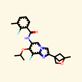 Cc1cccc(C(=O)Nc2cn3cc(C45COC(C)(C4)C5)nc3c(F)c2OC(C)C)c1F